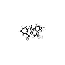 O=Cc1ccccc1S(=O)(=O)N1CC2CC2C1C(=O)O